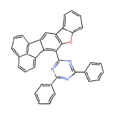 c1ccc(-c2nc(-c3ccccc3)nc(-c3c4c(cc5c3oc3ccccc35)-c3cccc5cccc-4c35)n2)cc1